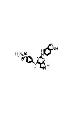 NS(=O)(=O)c1ccc(Nc2nc(Nc3ccc4[nH]ncc4c3)nc3[nH]ncc23)cc1